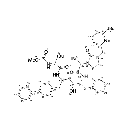 COC(=O)NC(C(=O)NN(Cc1ccc(-c2ccccn2)cc1)CC(O)C(Cc1ccccc1)NC(=O)C(N1CCN(Cc2cccc(C(C)(C)C)n2)C1=O)C(C)(C)C)C(C)(C)C